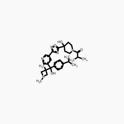 CC(C)C(=O)N1CCC(O)(c2nc(-c3cncc(C(O)(c4ccc(C(C)C)cc4)C4(C)CN(C)C4)c3)no2)CC1